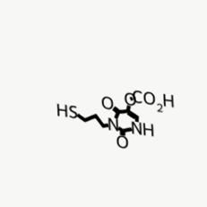 O=C(O)Oc1c[nH]c(=O)n(CCCS)c1=O